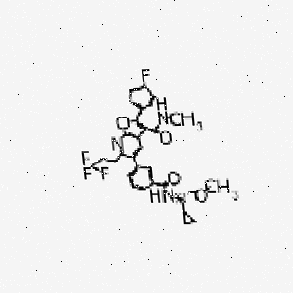 CNC(=O)c1c(-c2ccc(F)cc2)oc2nc(CCC(F)(F)F)c(-c3cccc(C(=O)N[C@H](COC)C4CC4)c3)cc12